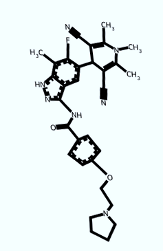 CC1=C(C#N)C(c2cc3c(NC(=O)c4ccc(OCCN5CCCC5)cc4)n[nH]c3c(C)c2F)C(C#N)=C(C)N1C